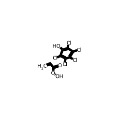 C=CC(=O)OO.Oc1c(Cl)c(Cl)c(Cl)c(Cl)c1Cl